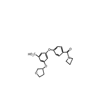 O=C(O)c1cc(Oc2ccc(C(=O)N3CCC3)cc2)cc(O[C@H]2CCOC2)c1